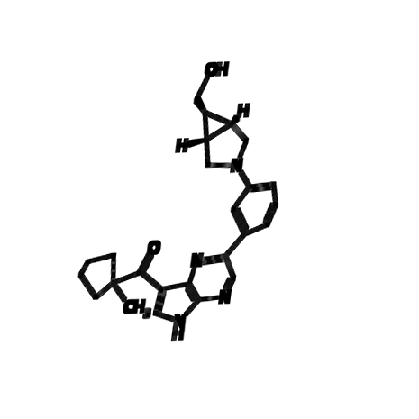 CC1(C(=O)c2c[nH]c3ncc(-c4cccc(N5C[C@@H]6[C@@H](CO)[C@@H]6C5)c4)nc23)CCCC1